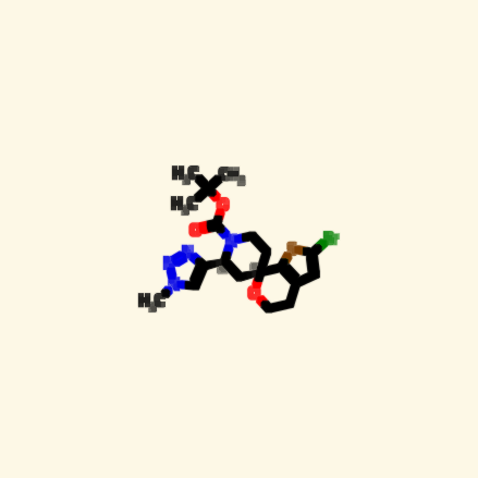 Cn1cc([C@@H]2C[C@]3(CCN2C(=O)OC(C)(C)C)OCCc2cc(Br)sc23)nn1